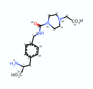 N[C@@H](Cc1ccc(CNC(=O)N2CCN(CC(=O)O)CC2)cc1)C(=O)O